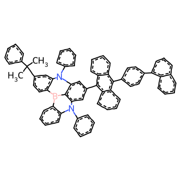 CC(C)(c1ccccc1)c1ccc2c(c1)N(c1ccccc1)c1cc(-c3c4ccccc4c(-c4ccc(-c5cccc6ccccc56)cc4)c4ccccc34)cc3c1B2c1ccccc1N3c1ccccc1